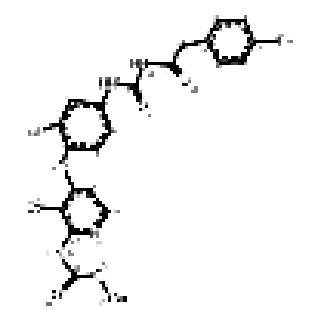 CCc1c(Oc2ccc(NC(=O)NC(=O)Cc3ccc(F)cc3)cc2F)ccnc1NC(=O)OC(C)(C)C